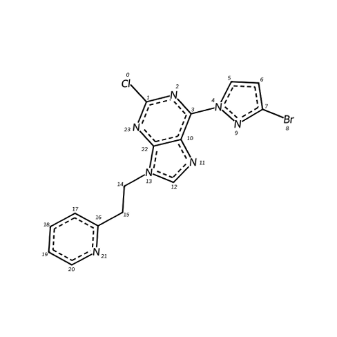 Clc1nc(-n2ccc(Br)n2)c2ncn(CCc3ccccn3)c2n1